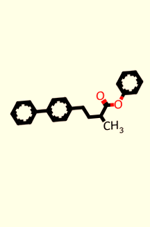 CC(CCc1ccc(-c2ccccc2)cc1)C(=O)Oc1ccccc1